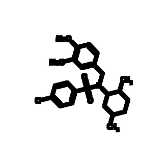 COc1ccc(CN(C2CC(C)CCC2C)S(=O)(=O)c2ccc(Cl)cc2)cc1OC